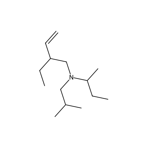 C=CC(CC)CN(CC(C)C)C(C)CC